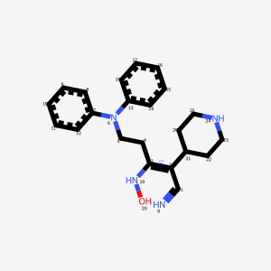 N=C/C(=C(/CCN(c1ccccc1)c1ccccc1)NO)C1CCNCC1